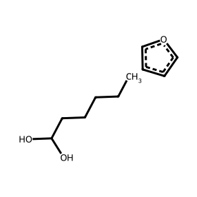 CCCCCC(O)O.c1ccoc1